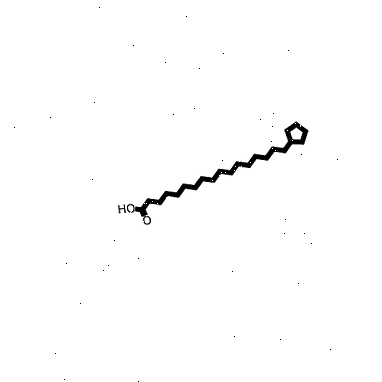 O=C(O)CCCCCCCCCCCCCCCCC1CCCC1